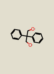 [O]CC(C[O])(c1ccccc1)c1ccccc1